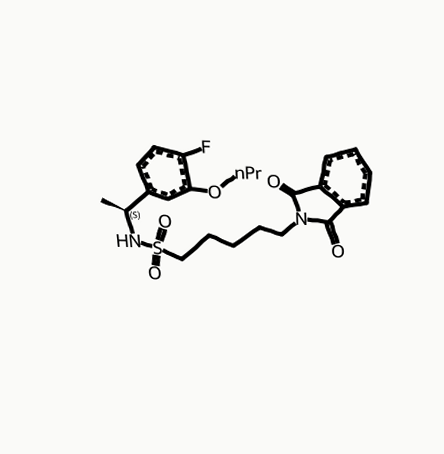 CCCOc1cc([C@H](C)NS(=O)(=O)CCCCCN2C(=O)c3ccccc3C2=O)ccc1F